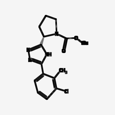 Cc1c(Cl)cccc1-c1nnc([C@@H]2CCCN2C(=O)OC(C)(C)C)[nH]1